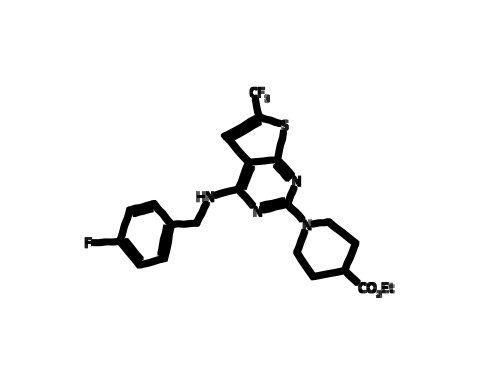 CCOC(=O)C1CCN(c2nc(NCc3ccc(F)cc3)c3cc(C(F)(F)F)sc3n2)CC1